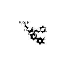 C[S+]([O-])CCNc1nc2ccc(-c3ccc(F)c(F)c3)nc2n(CCN2CCOCC2)c1=O